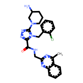 Cc1nc(CNC(=O)c2nnc(N3CCCC(N)C3)n2Cc2ccccc2Cl)nc2ccccc12